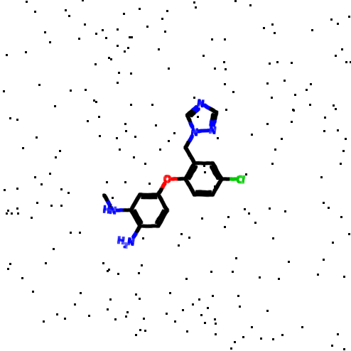 CNc1cc(Oc2ccc(Cl)cc2Cn2cncn2)ccc1N